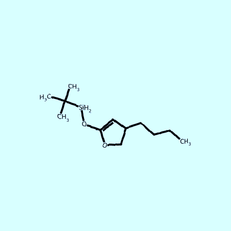 CCCCC1C=C(O[SiH2]C(C)(C)C)OC1